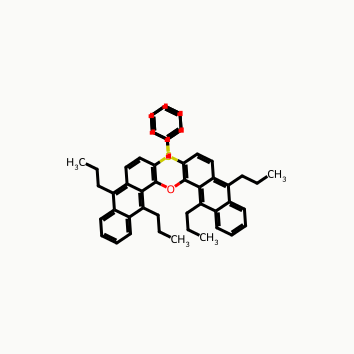 CCCc1c2ccccc2c(CCC)c2c(Oc3c(Sc4ccccc4)ccc4c(CCC)c5ccccc5c(CCC)c34)c(Sc3ccccc3)ccc12